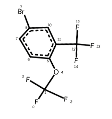 FC(F)(F)Oc1ccc(Br)cc1C(F)(F)F